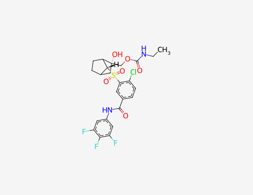 CCNC(=O)OC[C@@]1(O)CC2CCC1[C@@H]2S(=O)(=O)c1cc(C(=O)Nc2cc(F)c(F)c(F)c2)ccc1Cl